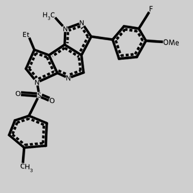 CCc1cn(S(=O)(=O)c2ccc(C)cc2)c2ncc3c(-c4ccc(OC)c(F)c4)nn(C)c3c12